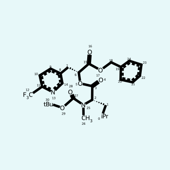 CC(C)C[C@@H](C(=O)O[C@H](Cc1ccc(C(F)(F)F)nc1)C(=O)OCc1ccccc1)N(C)C(=O)OC(C)(C)C